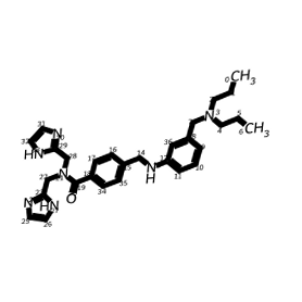 CCCN(CCC)Cc1cccc(NCc2ccc(C(=O)N(Cc3ncc[nH]3)Cc3ncc[nH]3)cc2)c1